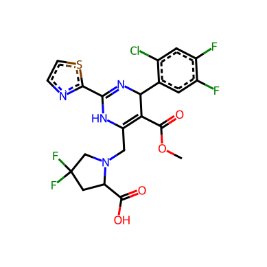 COC(=O)C1=C(CN2CC(F)(F)CC2C(=O)O)NC(c2nccs2)=NC1c1cc(F)c(F)cc1Cl